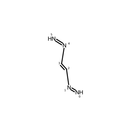 N=NC=CN=N